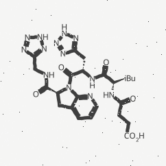 CC[C@H](C)[C@H](NC(=O)CCC(=O)O)C(=O)N[C@@H](Cc1nn[nH]n1)C(=O)N1c2ncccc2C[C@H]1C(=O)NCc1nn[nH]n1